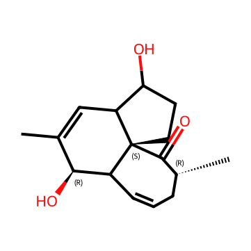 CC1=CC2C(O)CC[C@]23C(=O)[C@H](C)CC=CC3[C@H]1O